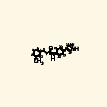 Cc1cccc(CCC(=O)Nc2ccc(-c3cn[nH]c3)cc2)c1